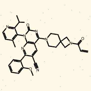 C=CC(=O)N1CC2(CCN(c3nc(=O)n(-c4c(C)ccnc4C(C)C)c4nc(-c5ccccc5OC)c(C#N)cc34)CC2)C1